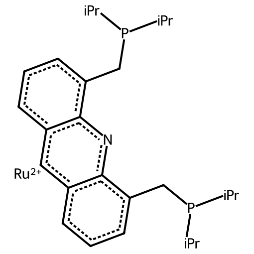 CC(C)P(Cc1cccc2cc3cccc(CP(C(C)C)C(C)C)c3nc12)C(C)C.[Ru+2]